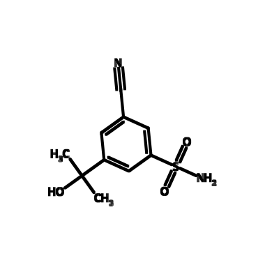 CC(C)(O)c1cc(C#N)cc(S(N)(=O)=O)c1